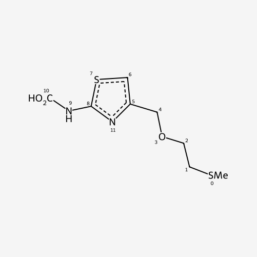 CSCCOCc1csc(NC(=O)O)n1